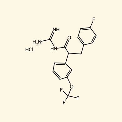 Cl.N=C(N)NC(=O)C(Cc1ccc(F)cc1)c1cccc(OC(F)(F)F)c1